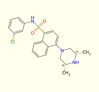 C[C@@H]1CN(c2ccc(S(=O)(=O)Nc3cccc(Cl)c3)c3ccccc23)C[C@H](C)N1